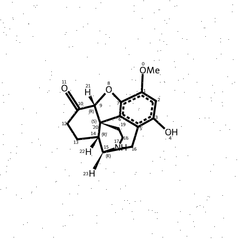 COc1cc(O)c2c3c1O[C@H]1C(=O)CC[C@H]4[C@@H](C2)NCC[C@]314